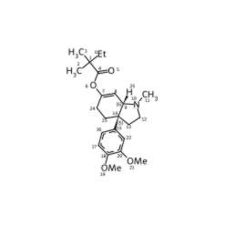 CCC(C)(C)C(=O)OC1=C[C@@H]2N(C)CC[C@]2(c2ccc(OC)c(OC)c2)CC1